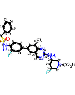 CCc1cc(-c2ccc(NS(=O)(=O)Cc3ccccc3)c(F)c2)cc2cnc(NC3CC(F)CN(C(=O)O)C3)nc12